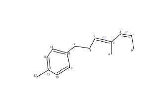 C/C=C\C(C)=C\CCc1ccc(C)cc1